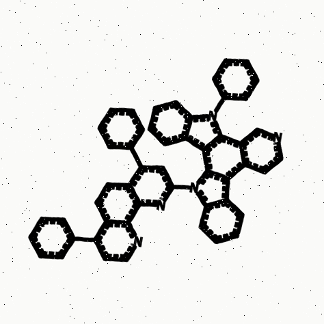 c1ccc(-c2ccnc3c2ccc2c(-c4ccccc4)cc(-n4c5ccccc5c5c6ccncc6c6c(c7ccccc7n6-c6ccccc6)c54)nc23)cc1